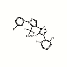 CCC(F)(F)c1c(-c2onc(-c3c(F)cccc3Cl)c2NC(C)=O)cnn1-c1cccc(F)c1